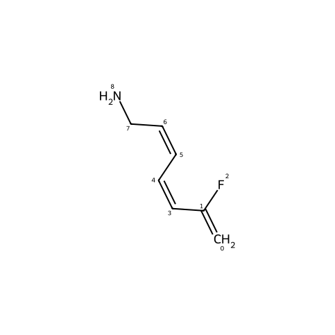 C=C(F)/C=C\C=C/CN